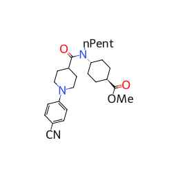 CCCCCN(C(=O)C1CCN(c2ccc(C#N)cc2)CC1)[C@H]1CC[C@H](C(=O)OC)CC1